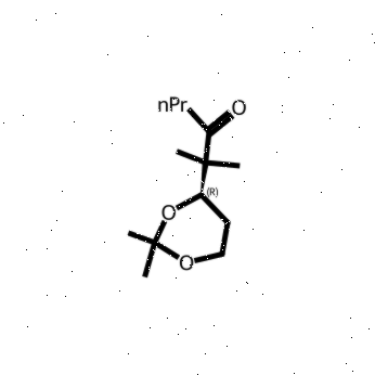 CCCC(=O)C(C)(C)[C@H]1CCOC(C)(C)O1